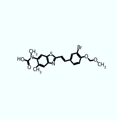 COCOc1ccc(C=Cc2nc3cc(C)c(N(C)C(=O)O)cc3s2)cc1Br